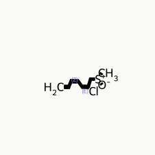 C=C/C=C\C=C(\Cl)C[S+](C)[O-]